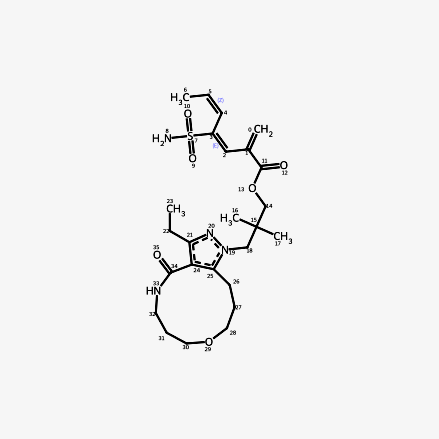 C=C(/C=C(\C=C/C)S(N)(=O)=O)C(=O)OCC(C)(C)Cn1nc(CC)c2c1CCCOCCCNC2=O